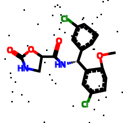 COc1ccc(Cl)cc1[C@H](NC(=O)C1CNC(=O)O1)c1cccc(Cl)c1